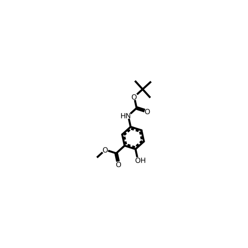 COC(=O)c1cc(NC(=O)OC(C)(C)C)ccc1O